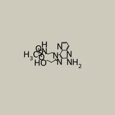 CS(=O)(=O)NCCn1c(CCO)nc2c(N)nc3cccnc3c21